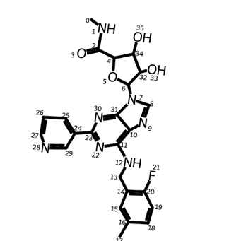 CNC(=O)C1OC(n2cnc3c(NCc4cc(C)ccc4F)nc(-c4cccnc4)nc32)C(O)C1O